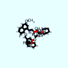 COc1cc(/C=C/c2nc(OC[C@@]34CCCN3C[C@H](F)C4)nc(N3CC4CCC(C3)N4C(=O)OC(C)(C)C)n2)c2c(OCc3ccccc3)c(F)ccc2c1